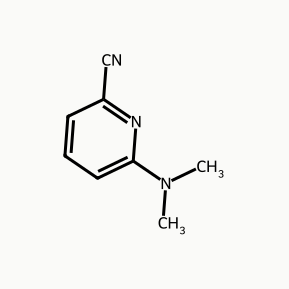 CN(C)c1cccc(C#N)n1